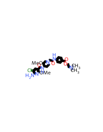 COc1nc(N)c(Cl)cc1C(=O)N[C@H]1CCN(CC(=O)Nc2ccc(C(=O)OCCN(C)C)cc2)C[C@H]1OC